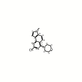 Cn1ccc2c3nc(Cl)nc(N4CCOCC4)c3ccc21